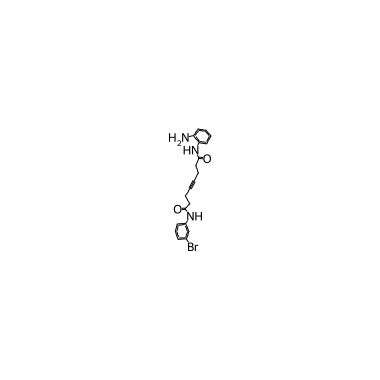 Nc1ccccc1NC(=O)CCC#CCCC(=O)Nc1cccc(Br)c1